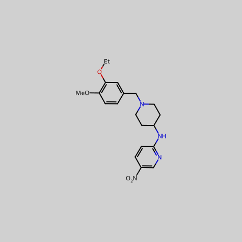 CCOc1cc(CN2CCC(Nc3ccc([N+](=O)[O-])cn3)CC2)ccc1OC